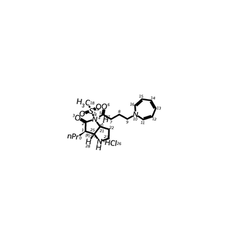 CCC[C@H]1C(=O)[N+](C(=O)CCCN2C=CC=CC=C2)(S(C)(=O)=O)[C@H]2CCN[C@H]12.Cl